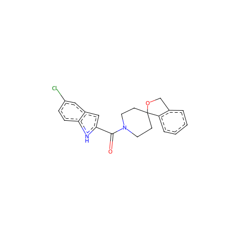 O=C(c1cc2cc(Cl)ccc2[nH]1)N1CCC2(CC1)OCc1ccccc12